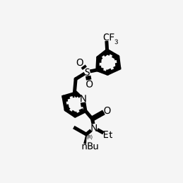 CCCC[C@@H](C)N(CC)C(=O)c1cccc(CS(=O)(=O)c2cccc(C(F)(F)F)c2)n1